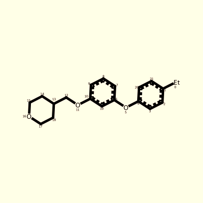 CCc1ccc(Oc2cccc(OCC3CCOCC3)c2)cc1